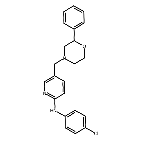 Clc1ccc(Nc2ccc(CN3CCOC(c4ccccc4)C3)cn2)cc1